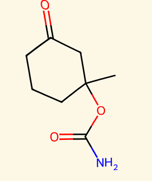 CC1(OC(N)=O)CCCC(=O)C1